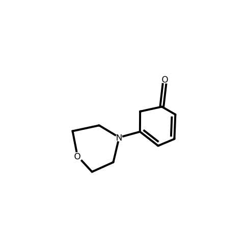 O=C1C=CC=C(N2CCOCC2)C1